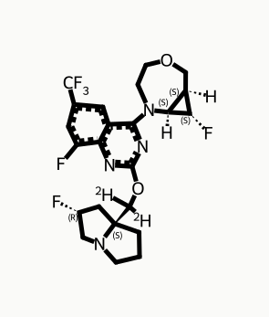 [2H]C([2H])(Oc1nc(N2CCOC[C@H]3[C@H](F)[C@H]32)c2cc(C(F)(F)F)cc(F)c2n1)[C@@]12CCCN1C[C@H](F)C2